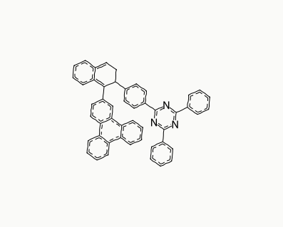 C1=c2ccccc2=C(c2ccc3c4ccccc4c4ccccc4c3c2)C(c2ccc(-c3nc(-c4ccccc4)nc(-c4ccccc4)n3)cc2)C1